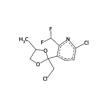 CC1COC(CCl)(c2ccc(Cl)nc2C(F)F)O1